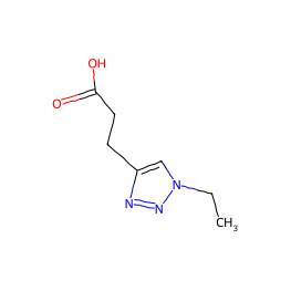 CCn1cc(CCC(=O)O)nn1